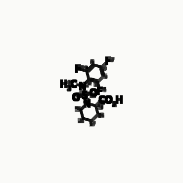 CN(c1c(F)cc(F)cc1F)S(=O)(=O)N1CCCCC1C(=O)O